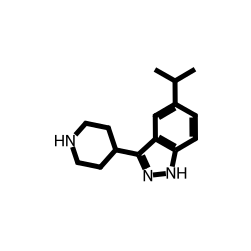 CC(C)c1ccc2[nH]nc(C3CCNCC3)c2c1